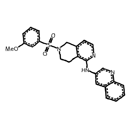 COc1cccc(S(=O)(=O)N2CCc3c(ccnc3Nc3cnc4ccccc4c3)C2)c1